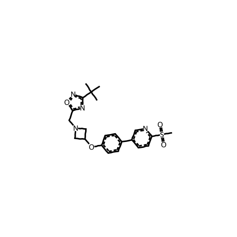 CC(C)(C)c1noc(CN2CC(Oc3ccc(-c4ccc(S(C)(=O)=O)nc4)cc3)C2)n1